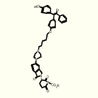 CCC(=C(c1ccc(O)cc1)c1ccc(OCCCCCN2CCN(c3ccc4c(c3)CN([C@H]3CCC(=O)N(C(=O)O)C3=O)C4=O)CC2)cc1)c1ccccc1